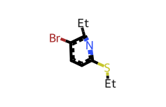 CCSc1ccc(Br)c(CC)n1